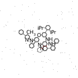 Cc1cc(-n2c3ccccc3c3ccc(Oc4cc(Nc5cc6nc7n(c6cc5Nc5c(-c6ccccc6)cccc5-c5ccccc5)CCCC7)cc(-c5c(C(C)C)cccc5C(C)C)c4)cc32)ncc1-c1ccccc1